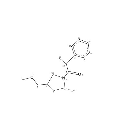 COCC1C[C@@H](C)N(C(=O)C(C)c2ccccc2)C1